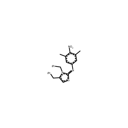 Cc1cc(N=c2scc(CC(C)C)n2CC(C)C)cc(C)c1[N+](=O)[O-]